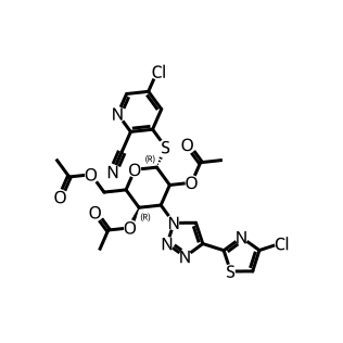 CC(=O)OCC1O[C@H](Sc2cc(Cl)cnc2C#N)C(OC(C)=O)C(n2cc(-c3nc(Cl)cs3)nn2)[C@H]1OC(C)=O